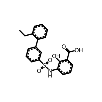 CCc1ccccc1-c1cccc(S(=O)(=O)Nc2cccc(C(=O)O)c2O)c1